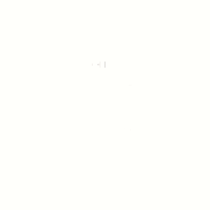 Oc1ccc2c(c1F)OCC2